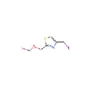 ICOCc1nc(CI)cs1